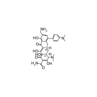 CN(C)c1ccc(-c2cc(CN)c(O)c3c2C[C@H]2C[C@H]4C(N(C)C)C(O)=C(C(N)=O)C(=O)[C@@]4(O)C(O)=C2C3=O)cc1